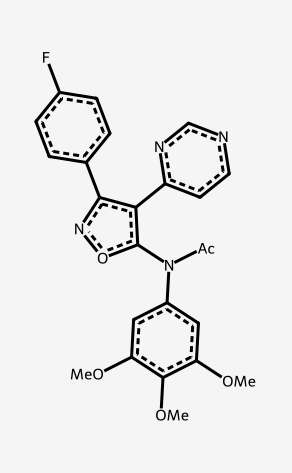 COc1cc(N(C(C)=O)c2onc(-c3ccc(F)cc3)c2-c2ccncn2)cc(OC)c1OC